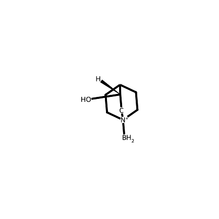 B[N+]12CCC(CC1)[C@@H](O)C2